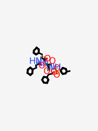 Cc1ccc(S(=O)(=O)OCC(O[C@H]2NC(=O)[C@H]2NC(=O)[C@H](Cc2ccccc2)NC(=O)CCc2ccccc2)c2ccccc2)cc1